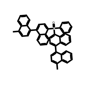 Cc1ccc(-c2ccc(P(=O)(c3ccccc3)c3ccc(-c4ccc(C)c5ccccc45)c4ccccc34)c3ccccc23)c2ccccc12